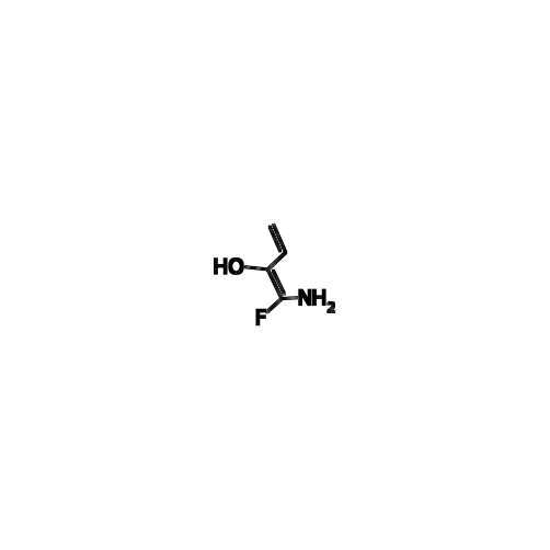 C=C/C(O)=C(\N)F